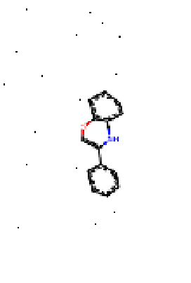 C1=C(c2ccccc2)Nc2ccccc2O1